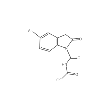 CCCC(=O)NC(=O)N1C(=O)Cc2cc(C(C)=O)ccc21